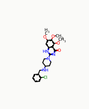 COc1cc2[nH]c(N3CCC(NCc4ccccc4Cl)CC3)nc(=O)c2c(OC)c1OC